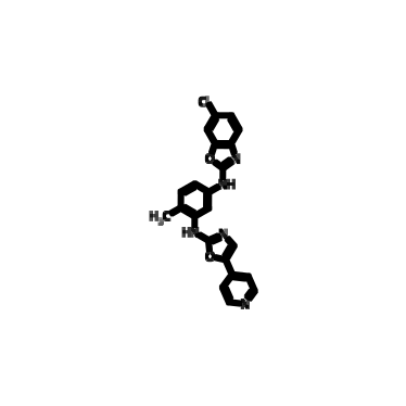 Cc1ccc(Nc2nc3ccc(Cl)cc3o2)cc1Nc1ncc(-c2ccncc2)o1